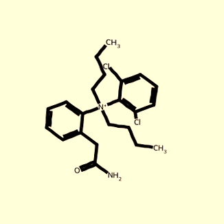 CCCC[N+](CCCC)(c1ccccc1CC(N)=O)c1c(Cl)cccc1Cl